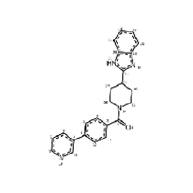 O=C(c1ccc(-c2cccnc2)cc1)N1CCC(c2nc3ccccc3[nH]2)CC1